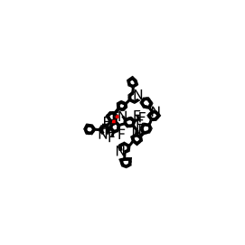 Fc1c(F)c(F)c(-c2cc(-n3c4cc(-c5ccnc(-c6ccccc6)c5)ccc4c4ccc(-c5ccnc(-c6ccccc6)c5)cc43)c(C(F)(F)F)cc2-n2c3cc(-c4ccnc(-c5ccccc5)c4)ccc3c3ccc(-c4ccnc(-c5ccccc5)c4)cc32)c(F)c1F